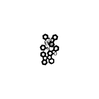 Cc1ccccc1N(c1ccc2c3ccccc3n(-c3ccccc3C)c2c1)c1cc2c(c3oc4ccccc4c13)C1=C(C=CCC1)C21c2ccccc2-c2ccccc21